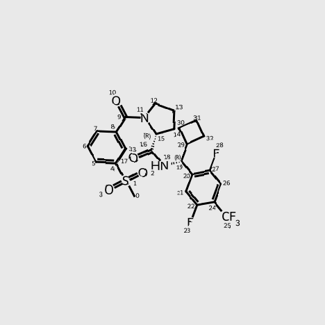 CS(=O)(=O)c1cccc(C(=O)N2CCC[C@@H]2C(=O)N[C@@H](c2cc(F)c(C(F)(F)F)cc2F)C2CCC2)c1